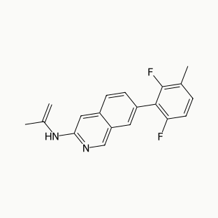 C=C(C)Nc1cc2ccc(-c3c(F)ccc(C)c3F)cc2cn1